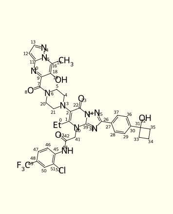 CCc1c(N2CCN(C(=O)c3nc4ccnn4c(C)c3O)CC2)c(=O)n2nc(-c3ccc(C4(O)CCC4)cc3)nc2n1CC(=O)Nc1ccc(C(F)(F)F)cc1Cl